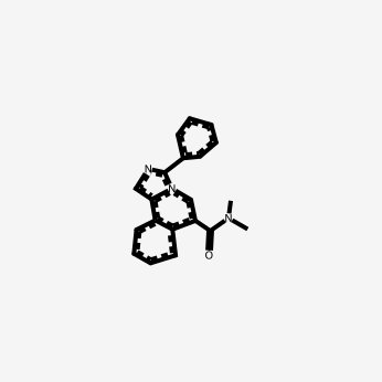 CN(C)C(=O)c1cn2c(-c3ccccc3)ncc2c2ccccc12